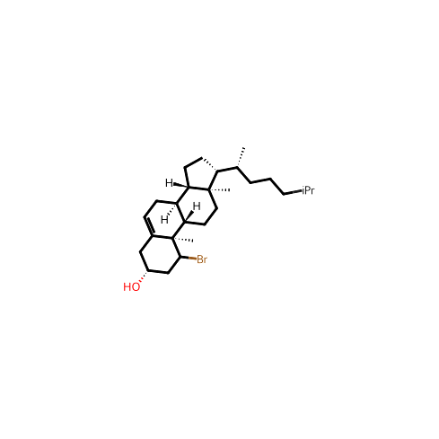 CC(C)CCC[C@@H](C)[C@H]1CC[C@H]2[C@@H]3CC=C4C[C@@H](O)CC(Br)[C@]4(C)[C@H]3CC[C@]12C